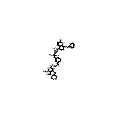 CCc1nc2c(cnn2CC)c(NC2CCOCC2)c1CNC(=O)c1cccc(CC(C)(C)NC[C@H](O)c2ccc(OCc3ccccc3)c3[nH]c(=O)ccc23)c1